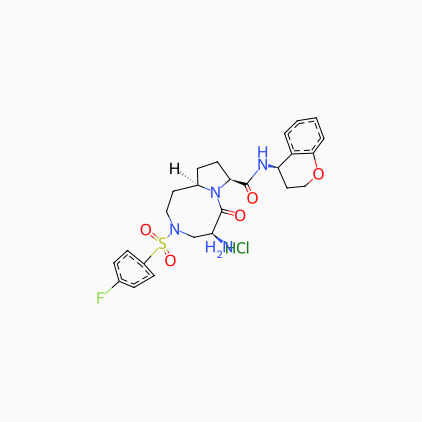 Cl.N[C@H]1CN(S(=O)(=O)c2ccc(F)cc2)CC[C@H]2CC[C@@H](C(=O)N[C@@H]3CCOc4ccccc43)N2C1=O